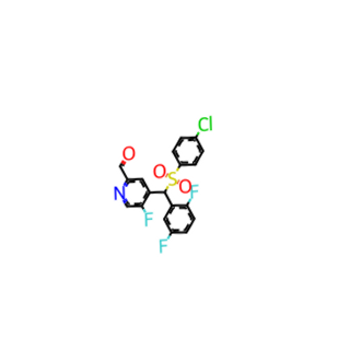 O=Cc1cc(C(c2cc(F)ccc2F)S(=O)(=O)c2ccc(Cl)cc2)c(F)cn1